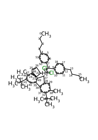 CCCCc1ccc([C](c2ccc(CCCC)cc2)=[Hf]([Cl])([Cl])([CH]2C=CC=C2)[CH]2c3cc(C)c(C(C)(C)C)cc3-c3cc(C(C)(C)C)c(C)cc32)cc1